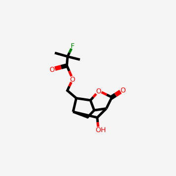 CC(C)(F)C(=O)OCC1C2CC3C1OC(=O)C3C2O